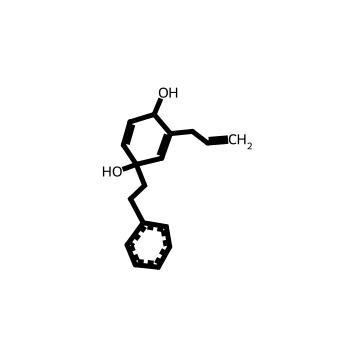 C=CCC1=CC(O)(CCc2ccccc2)C=CC1O